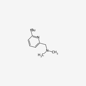 CN(C)Cc1cccc(C(C)(C)C)n1